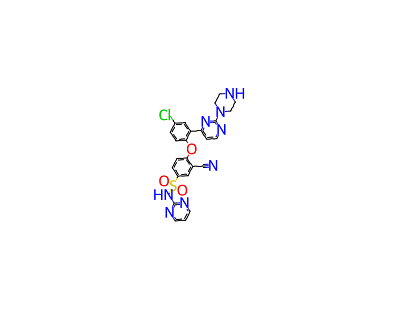 N#Cc1cc(S(=O)(=O)Nc2ncccn2)ccc1Oc1ccc(Cl)cc1-c1ccnc(N2CCNCC2)n1